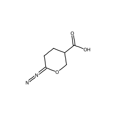 [N-]=[N+]=C1CCC(C(=O)O)CO1